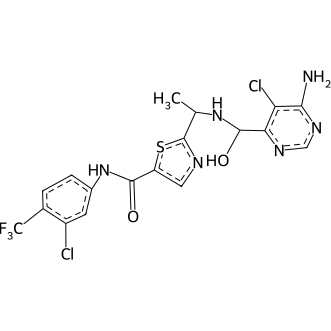 CC(NC(O)c1ncnc(N)c1Cl)c1ncc(C(=O)Nc2ccc(C(F)(F)F)c(Cl)c2)s1